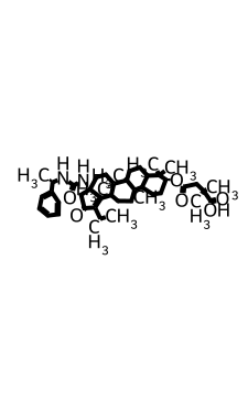 CC(C)C1=C2C3CCC4[C@@]5(C)CC[C@H](OC(=O)CC(C)(C)C(=O)O)C(C)(C)C5CC[C@@]4(C)[C@]3(C)CC[C@@]2(NC(=O)N[C@H](C)c2ccccc2)CC1=O